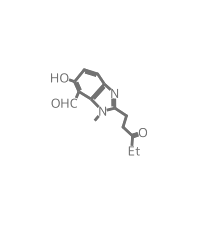 CCC(=O)CCc1nc2ccc(O)c(C=O)c2n1C